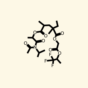 CCC(C)(CC(C)C(=O)OC(C)C(=O)N(C(C)=O)C(C)C)C(=O)OCC(=O)OC(C)C(F)(F)F